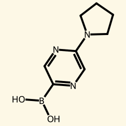 OB(O)c1cnc(N2CCCC2)cn1